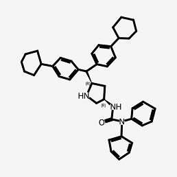 O=C(N[C@H]1CN[C@@H](C(c2ccc(C3CCCCC3)cc2)c2ccc(C3CCCCC3)cc2)C1)N(c1ccccc1)c1ccccc1